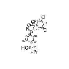 Cc1cc(C2=NOC(c3cc(Cl)cc(Cl)c3)(C(F)(F)F)C2)ccc1C(O)CC(C)C